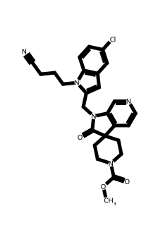 COC(=O)N1CCC2(CC1)C(=O)N(Cc1cc3cc(Cl)ccc3n1CCCC#N)c1cnccc12